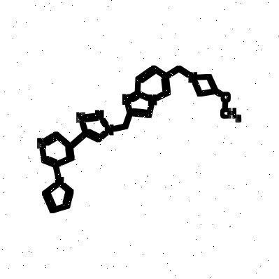 COC1CN(Cc2ccc3nc(Cn4cc(-c5cncc(-n6cccc6)c5)nn4)cn3c2)C1